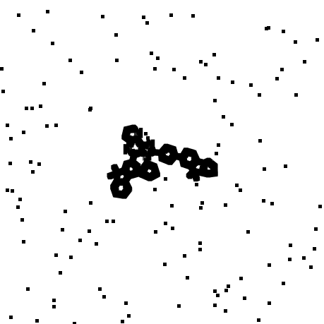 CC1(C)c2ccccc2-c2ccc(-c3ccc(-c4nc5c6ncccc6nc(-c6ccc7c(c6)C(C)(C)c6ccccc6-7)c5n4-c4ccccc4)cc3)cc21